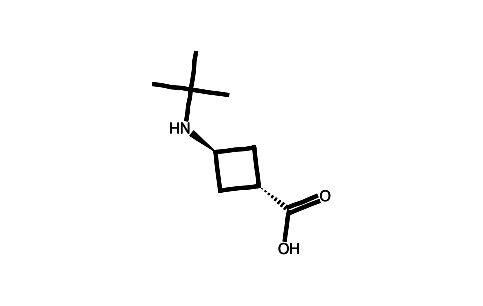 CC(C)(C)N[C@H]1C[C@H](C(=O)O)C1